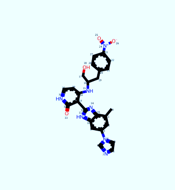 Cc1cc(-n2ccnc2)cc2[nH]c(-c3c(NC(CO)Cc4ccc([N+](=O)[O-])cc4)cc[nH]c3=O)nc12